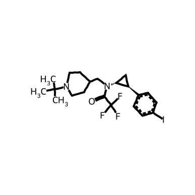 CC(C)(C)N1CCC(CN(C(=O)C(F)(F)F)[C@@H]2C[C@H]2c2ccc(I)cc2)CC1